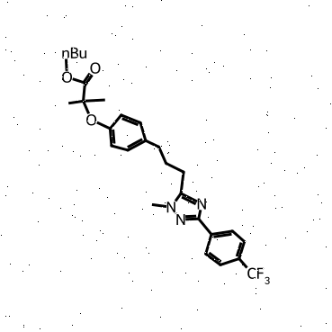 CCCCOC(=O)C(C)(C)Oc1ccc(CCCc2nc(-c3ccc(C(F)(F)F)cc3)nn2C)cc1